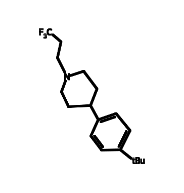 CC(C)(C)c1ccc(C2CCN(CCC(F)(F)F)CC2)cc1